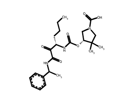 CCCC[C@H](NC(=O)O[C@@H]1CN(C(=O)O)CC1(C)C)C(=O)C(=O)NC(C)c1ccccc1